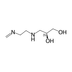 C=NCCNC[C@H](O)CO